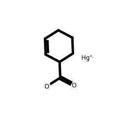 O=C([O-])C1C=CCCC1.[Hg+]